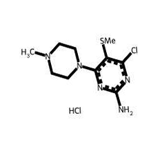 CSc1c(Cl)nc(N)nc1N1CCN(C)CC1.Cl